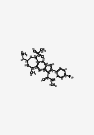 CNC(=O)c1c(-c2ccc(F)cc2)oc2cc3c(cc12)C(C)OC(CN)CN3S(C)(=O)=O